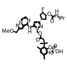 COCc1cc2c(Nc3cc([C@@H]4C[C@H](F)[C@H](OC(=O)NC(C)C)C4)nn3COC(=O)CC(C)(C)c3c(C)cc(C)cc3OP(=O)(O)O)nccn2n1